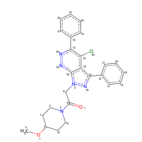 COC1CCN(C(=O)Cn2nc(-c3ccccc3)c3c(Cl)c(-c4ccccc4)nnc32)CC1